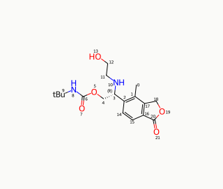 Cc1c([C@H](COC(=O)NC(C)(C)C)NCCO)ccc2c1COC2=O